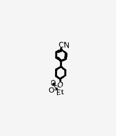 CCS(=O)(=O)OC1CCC(c2ccc(C#N)cc2)CC1